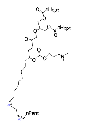 CCCCC/C=C\C/C=C\CCCCCCCCC(CCC(=O)COC(COC(=O)CCCCCCC)COC(=O)CCCCCCC)OC(=O)OCCCN(C)C